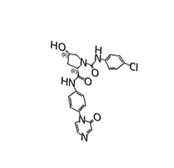 O=C(Nc1ccc(-n2ccncc2=O)cc1)[C@H]1C[C@@H](O)CN1C(=O)Nc1ccc(Cl)cc1